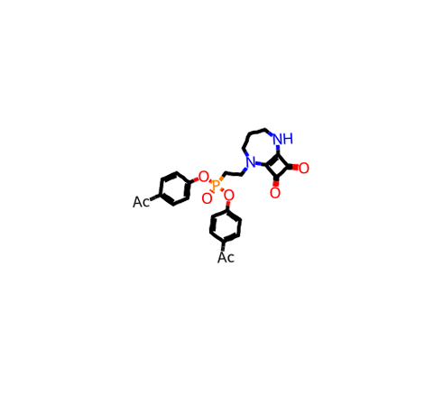 CC(=O)c1ccc(OP(=O)(CCN2CCCNc3c2c(=O)c3=O)Oc2ccc(C(C)=O)cc2)cc1